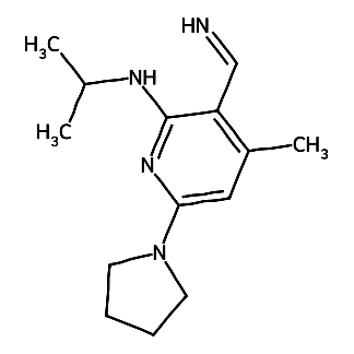 Cc1cc(N2CCCC2)nc(NC(C)C)c1C=N